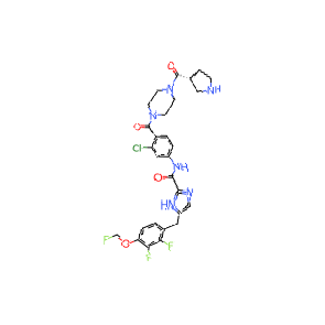 O=C(Nc1ccc(C(=O)N2CCN(C(=O)[C@@H]3CCNC3)CC2)c(Cl)c1)c1ncc(Cc2ccc(OCF)c(F)c2F)[nH]1